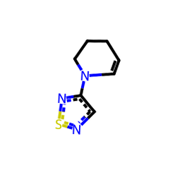 C1=CN(c2cnsn2)CCC1